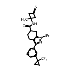 CC(C)n1nc(-c2cccc(C3(C(F)(F)F)CC3)c2)c2c1CC(C(=O)NC1(C)CC(=S)C1)CC2